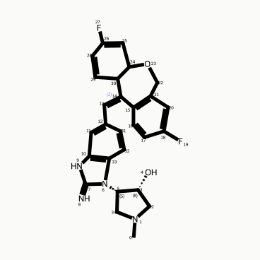 CN1C[C@@H](O)[C@@H](n2c(=N)[nH]c3cc(/C=C4\c5ccc(F)cc5COC5C=C(F)C=CC45)ccc32)C1